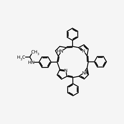 CC(C)Nc1ccc(-c2c3nc(c(-c4ccccc4)c4ccc([nH]4)c(-c4ccccc4)c4nc(c(-c5ccccc5)c5[nH]c2CC5)C=C4)C=C3)cc1